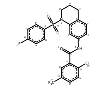 O=C(Nc1ccc2c(c1)N(S(=O)(=O)c1ccc(F)cc1)CCC2)c1cc(C(F)(F)F)ccc1Cl